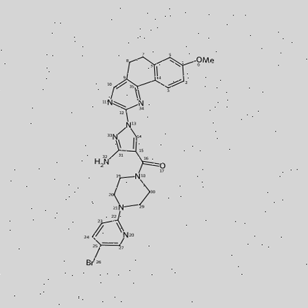 COc1ccc2c(c1)CCc1cnc(-n3cc(C(=O)N4CCN(c5ccc(Br)cn5)CC4)c(N)n3)nc1-2